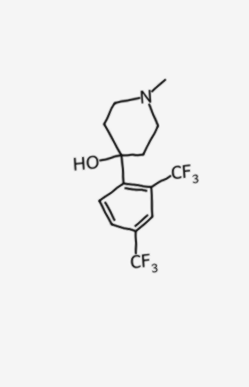 CN1CCC(O)(c2ccc(C(F)(F)F)cc2C(F)(F)F)CC1